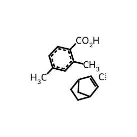 C1=CC2CCC1C2.Cc1ccc(C(=O)O)c(C)c1.[C]